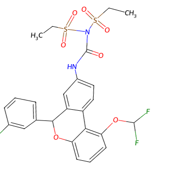 CCS(=O)(=O)N(C(=O)Nc1ccc2c(c1)C(c1cccc(F)c1)Oc1cccc(OC(F)F)c1-2)S(=O)(=O)CC